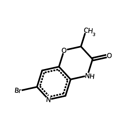 CC1Oc2cc(Br)ncc2NC1=O